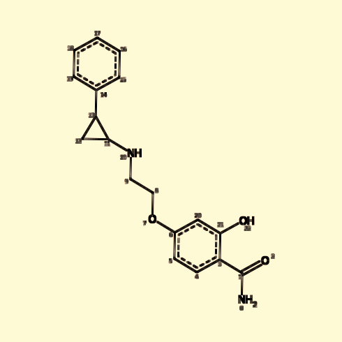 NC(=O)c1ccc(OCCNC2CC2c2ccccc2)cc1O